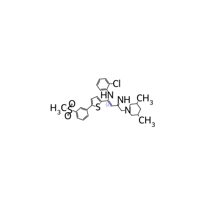 CC1CC(C)CN(CC(=N)/C=C(\Nc2ccccc2Cl)c2ccc(-c3cccc(S(C)(=O)=O)c3)s2)C1